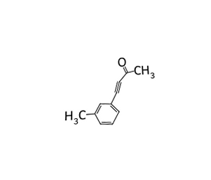 CC(=O)C#Cc1cccc(C)c1